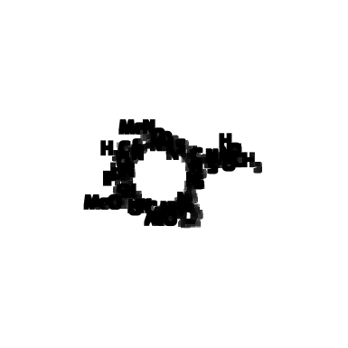 CNC(=O)C[C@@H]1NC(=O)c2csc(n2)-c2ccc(-c3nc(NS(C)(=O)=O)cs3)nc2-c2csc(n2)-c2csc(n2)C([C@@H](OC(C)=O)c2ccccc2)NC(=O)CNC(=O)c2nc(sc2COC)[C@@H](C(C)C)NC(=O)c2nc1sc2C